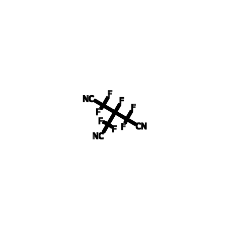 N#CC(F)(F)C(F)(C(F)(F)C#N)C(F)(F)C#N